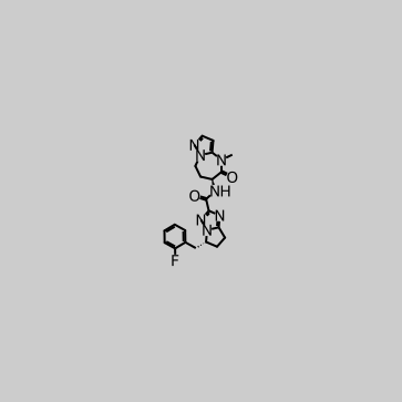 CN1C(=O)[C@@H](NC(=O)c2nc3n(n2)[C@@H](Cc2ccccc2F)CC3)CCn2nccc21